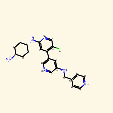 N[C@H]1CC[C@H](Nc2cc(-c3cncc(NCc4ccncc4)c3)c(Cl)cn2)CC1